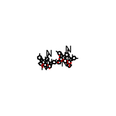 Cc1ccc2c(c1)c1cc(C)ccc1n2-c1cc(C#N)cc(-n2c3ccc(C)cc3c3cc(Cc4cc5c6ccc(C)cc6n(-c6cc(C#N)cc(-n7c8cc(C)ccc8c8ccc(C)cc87)c6-c6cc(C)nc(C)c6)c5cc4C)ccc32)c1-c1cc(-c2ccccc2)nc(-c2ccccc2)c1